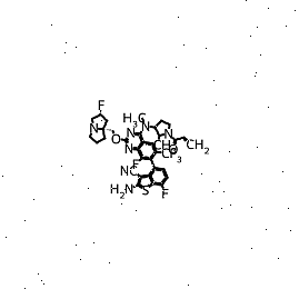 C=CC(=O)N1CCC(N(C)c2nc(OC[C@]34CCCN3C[C@H](F)C4)nc3c(F)c(-c4ccc(F)c5sc(N)c(C#N)c45)c(C(F)(F)F)cc23)C1C